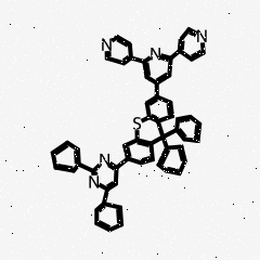 c1ccc(-c2cc(-c3ccc4c(c3)Sc3cc(-c5cc(-c6ccncc6)nc(-c6ccncc6)c5)ccc3C4(c3ccccc3)c3ccccc3)nc(-c3ccccc3)n2)cc1